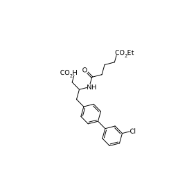 CCOC(=O)CCCC(=O)NC(CC(=O)O)Cc1ccc(-c2cccc(Cl)c2)cc1